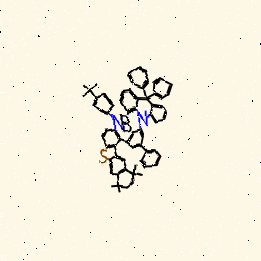 CC(C)(C)c1ccc(N2B3c4cccc5c4N(c4ccccc4C5(c4ccccc4)c4ccccc4)c4cc(-c5ccccc5)cc(c43)-c3c2ccc2sc4cc5c(cc4c32)C(C)(C)CCC5(C)C)cc1